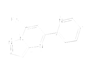 FC(F)(F)c1cc(-c2ccccn2)nc2ccnn12